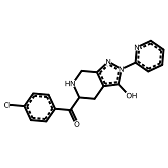 O=C(c1ccc(Cl)cc1)C1Cc2c(nn(-c3ccccn3)c2O)CN1